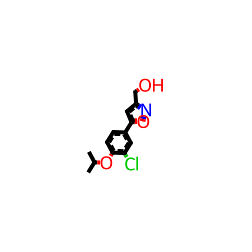 CC(C)Oc1ccc(-c2cc(CO)no2)cc1Cl